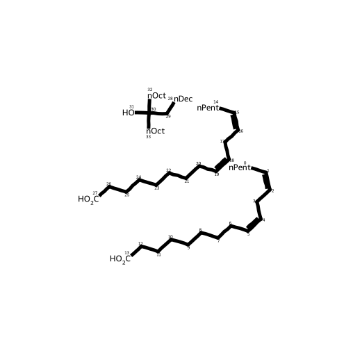 CCCCC/C=C\C/C=C\CCCCCCCC(=O)O.CCCCC/C=C\C/C=C\CCCCCCCC(=O)O.CCCCCCCCCCCC(O)(CCCCCCCC)CCCCCCCC